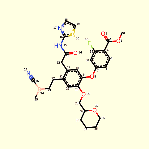 COC(=O)c1ccc(Oc2cc(CC(=O)Nc3nccs3)c(CCB(C)C#N)cc2OCC2CCCCO2)cc1F